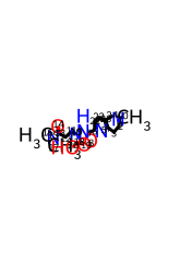 CN1CCc2nc(C(=O)NN(CCC(=O)N(C)C)C(=O)O)ccc2C1